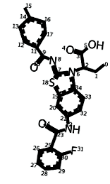 CCC(C(=O)O)n1c(=NC(=O)c2ccc(C)cc2)sc2cc(NC(=O)c3ccccc3F)ccc21